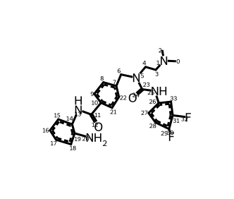 CN(C)CCN(Cc1ccc(C(=O)Nc2ccccc2N)cc1)C(=O)Nc1ccc(F)c(F)c1